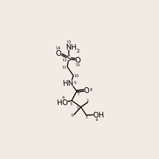 CC(C)(CO)C(O)C(=O)NCCS(N)(=O)=O